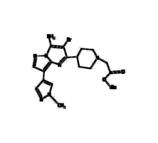 Cn1cc(-c2cnn3c(N)c(Br)c(C4CCN(CC(=O)OC(C)(C)C)CC4)nc23)cn1